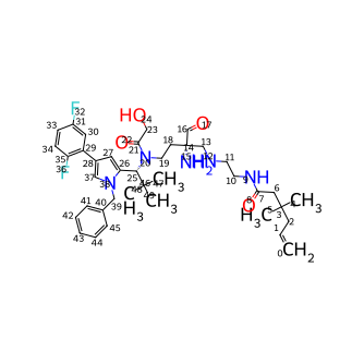 C=CCC(C)(C)CC(=O)NCCNC[C@](N)(C=O)CCN(C(=O)CO)[C@@H](c1cc(-c2cc(F)ccc2F)cn1Cc1ccccc1)C(C)(C)C